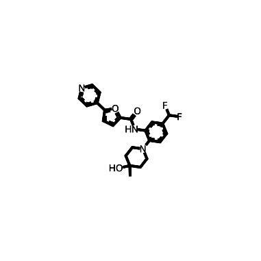 CC1(O)CCN(c2ccc(C(F)F)cc2NC(=O)c2ccc(-c3ccncc3)o2)CC1